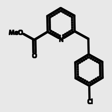 COC(=O)c1cccc(Cc2ccc(Cl)cc2)n1